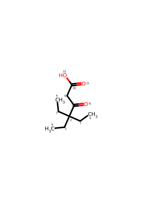 CCC(CC)(CC)C(=O)CC(=O)O